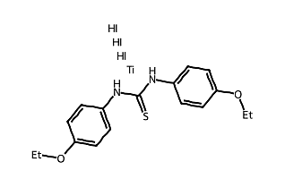 CCOc1ccc(NC(=S)Nc2ccc(OCC)cc2)cc1.I.I.I.[Ti]